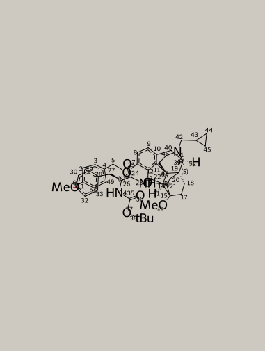 COc1ccc(COc2ccc3c4c2OC2C5(OC)CC[C@@]6(C[C@@H]5CNC(=O)[C@H](Cc5ccccc5)NC(=O)OC(C)(C)C)[C@@H](C3)N(CC3CC3)CC[C@]426)cc1